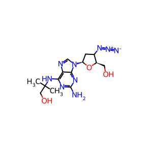 CC(C)(CO)Nc1nc(N)nc2c1ncn2[C@H]1CC(N=[N+]=[N-])[C@@H](CO)O1